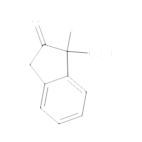 CCC1(C(=O)O)C(=O)Cc2ccccc21